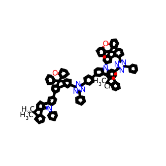 CC1(C)c2ccccc2-c2c1ccc1c3cc(-c4ccc5c(c4)-c4cc(-c6nc(-c7ccccc7)nc(-c7ccc(-c8ccc9c(c8)c8c%10c(ccc8n9-c8ccc9c(c8)-c8c(-c%11nc(-c%12ccccc%12)nc(-c%12ccccc%12)n%11)cccc8C98c9ccccc9Oc9ccccc98)-c8ccccc8C%10(C)C)cc7)n6)ccc4C54c5ccccc5Oc5ccccc54)ccc3n(-c3ccccc3)c21